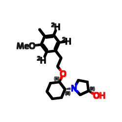 [2H]c1c([2H])c(CCO[C@@H]2CCCC[C@H]2N2CC[C@@H](O)C2)c([2H])c(OC)c1C